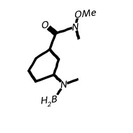 BN(C)C1CCCC(C(=O)N(C)OC)C1